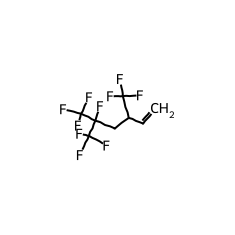 C=CC(CC(F)(C(F)(F)F)C(F)(F)F)C(F)(F)F